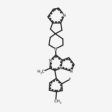 Cc1ccc(-c2c(C)nc(N3CCC4(CC3)Cc3cccnc3C4)c3ccnn23)c(F)c1